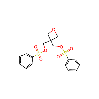 O=S(=O)(OCC1(COS(=O)(=O)c2ccccc2)COC1)c1ccccc1